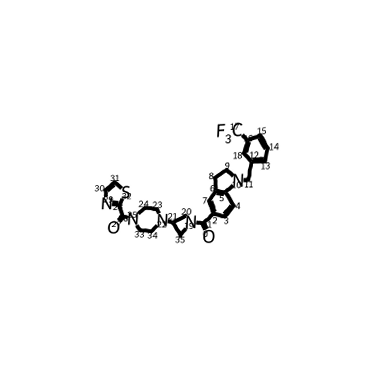 O=C(c1ccc2c(c1)CCN2Cc1cccc(C(F)(F)F)c1)N1CC(N2CCN(C(=O)c3nccs3)CC2)C1